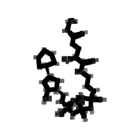 CC(C)(C)OC(=O)CCC(N)C(=O)NCCOP(=O)(O)OP(=O)(O)OP(=O)(O)OC[C@H]1O[C@@H](C2CCCCC2)CC1O